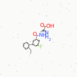 CCc1ccccc1-c1cc(F)cc(C(=O)NC[C@@H](N)C(=O)O)c1